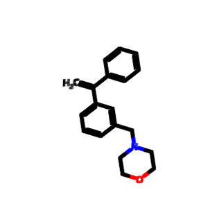 C=C(c1ccccc1)c1cccc(CN2CCOCC2)c1